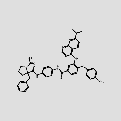 CC(C)c1ccc2c(Nc3cc(C(=O)Nc4ccc(NC(=O)C5(Cc6ccccc6)CCCN5C(=O)O)cc4)ccc3Sc3ccc(N)cc3)ncnc2n1